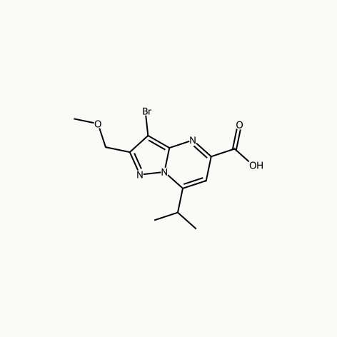 COCc1nn2c(C(C)C)cc(C(=O)O)nc2c1Br